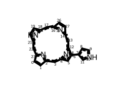 C1=Cc2cc3cc(-c4cc[nH]c4)c(cc4nc(cc5ccc(cc1n2)[nH]5)C=C4)[nH]3